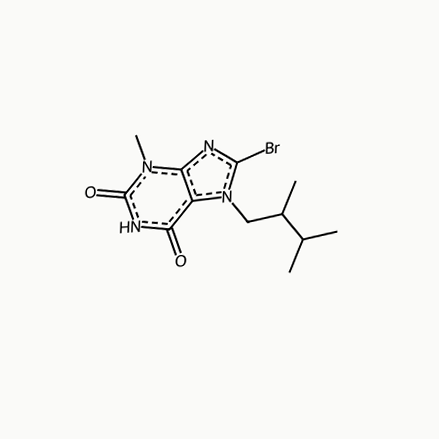 CC(C)C(C)Cn1c(Br)nc2c1c(=O)[nH]c(=O)n2C